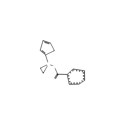 O=C([NH][Ti+2]1([C]2=CC=CC2)[CH2][CH2]1)c1ccccc1.[Cl-].[Cl-]